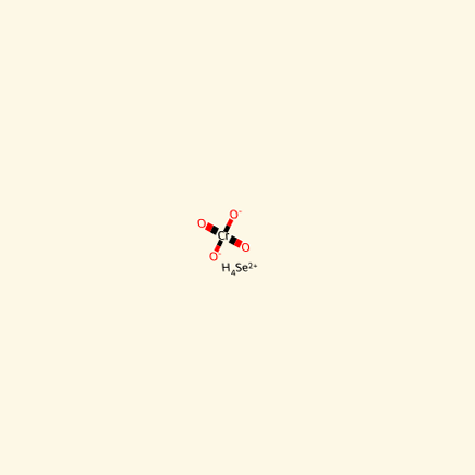 [O]=[Cr](=[O])([O-])[O-].[SeH4+2]